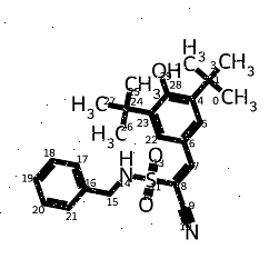 CC(C)(C)c1cc(/C=C(/C#N)S(=O)(=O)NCc2ccccc2)cc(C(C)(C)C)c1O